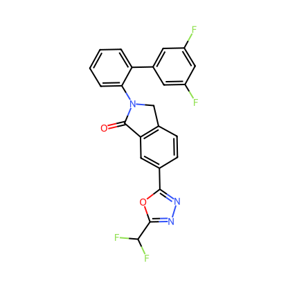 O=C1c2cc(-c3nnc(C(F)F)o3)ccc2CN1c1ccccc1-c1cc(F)cc(F)c1